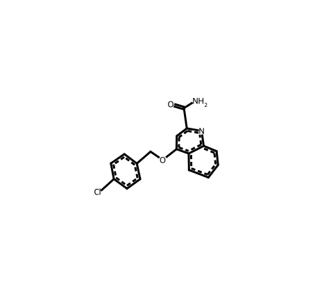 NC(=O)c1cc(OCc2ccc(Cl)cc2)c2ccccc2n1